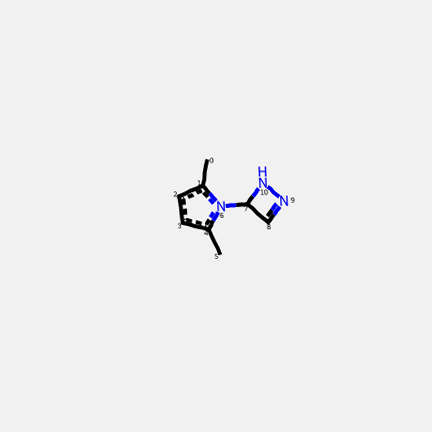 Cc1ccc(C)n1C1C=NN1